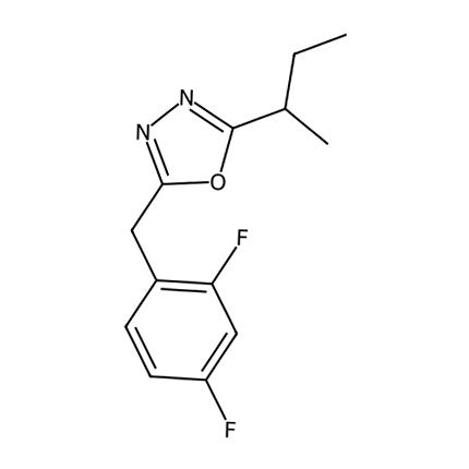 CCC(C)c1nnc(Cc2ccc(F)cc2F)o1